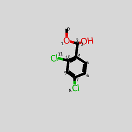 COC(O)c1ccc(Cl)cc1Cl